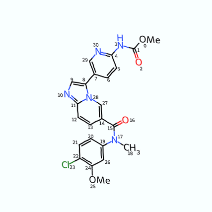 COC(=O)Nc1ccc(-c2cnc3ccc(C(=O)N(C)c4ccc(Cl)c(OC)c4)cn23)cn1